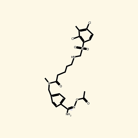 CC(=O)O/N=C(/N)c1ccc(CN(C)C(=O)CCCCNCS(=O)(=O)c2ccc(Cl)c(C)c2Cl)cc1